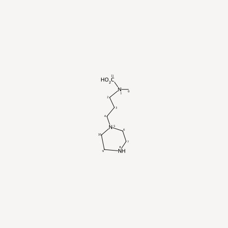 CN(CCCN1CCNCC1)C(=O)O